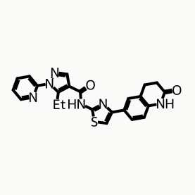 CCc1c(C(=O)Nc2nc(-c3ccc4c(c3)CCC(=O)N4)cs2)cnn1-c1ccccn1